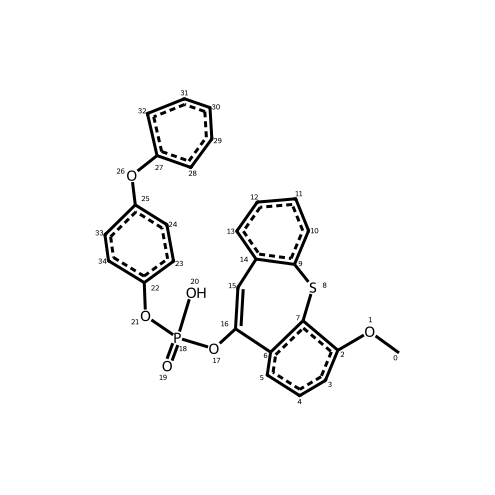 COc1cccc2c1Sc1ccccc1C=C2OP(=O)(O)Oc1ccc(Oc2ccccc2)cc1